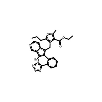 CCCc1nc(C)c(C(=O)OCC)n1Cc1c2ccocc-2c(Br)c1-c1ccccc1-c1nnn[nH]1